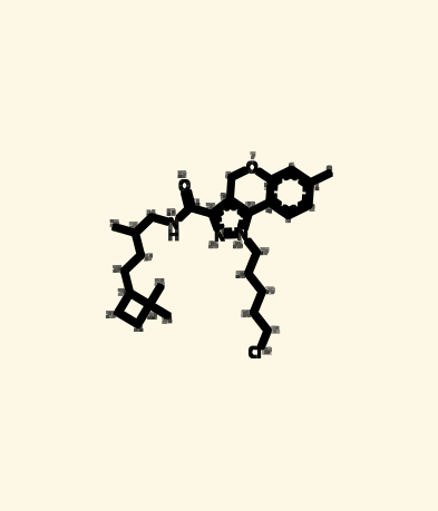 Cc1ccc2c(c1)OCc1c(C(=O)NCC(C)CCC3CCC3(C)C)nn(CCCCCCl)c1-2